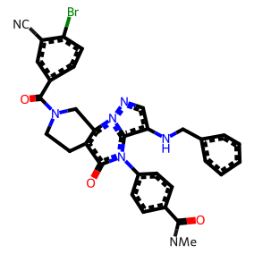 CNC(=O)c1ccc(-n2c(=O)c3c(n4ncc(NCc5ccccc5)c24)CN(C(=O)c2ccc(Br)c(C#N)c2)CC3)cc1